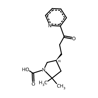 CC1(C)C[C@H](CCC(=O)c2ccccn2)CN1C(=O)O